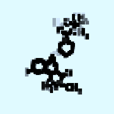 CN(C)C(=O)c1cn(C[C@H]2CCCN(C(=O)OC(C)(C)C)C2)c2ccc(I)cc2c1=O